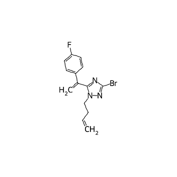 C=CCCn1nc(Br)nc1C(=C)c1ccc(F)cc1